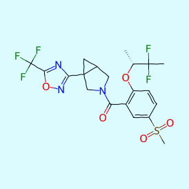 C[C@@H](Oc1ccc(S(C)(=O)=O)cc1C(=O)N1CC2CC2(c2noc(C(F)(F)F)n2)C1)C(C)(F)F